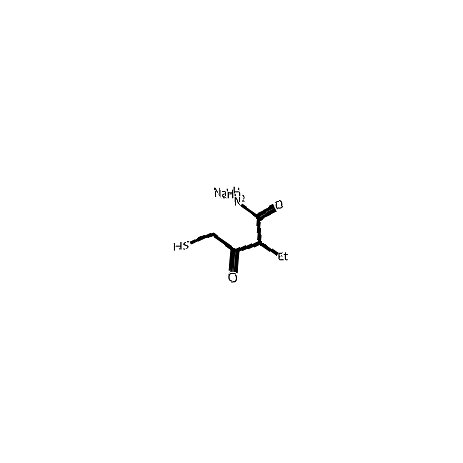 [CH2]CC(C(N)=O)C(=O)CS.[NaH]